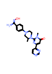 CC1CN(c2ccc(/C(N)=N\O)cc2)CCN1c1nc(-c2ccncn2)cc(=O)n1C